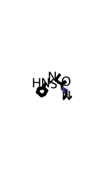 Cc1nc(Nc2ccccc2)sc1C(=O)/C=C/N(C)C